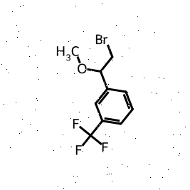 COC(CBr)c1cccc(C(F)(F)F)c1